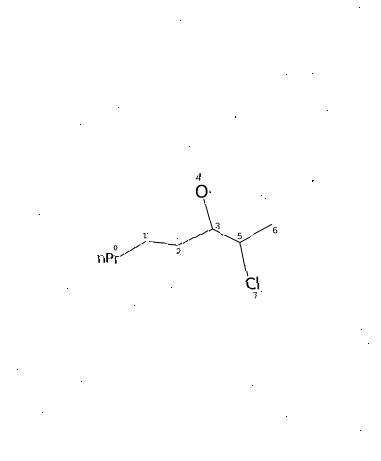 CCCCCC([O])C(C)Cl